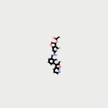 CC(=O)O[C@@H]1COc2cc(NCc3cccc(-c4c(C)oc5ncccc45)c3C)ccc21